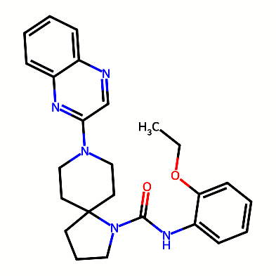 CCOc1ccccc1NC(=O)N1CCCC12CCN(c1cnc3ccccc3n1)CC2